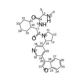 CNC(C)C(=O)N[C@H](C(=O)N1CCCC1c1cncc(-c2coc3ccccc23)c1)C1CCCCC1